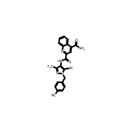 CC(C)c1c(NC(=O)c2cc(C(N)=O)c3ccccc3n2)c(C(F)(F)F)nn1Cc1ccc(C#N)cc1